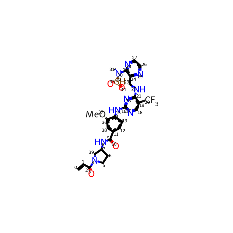 C=CC(=O)N1CCC(NC(=O)c2ccc(Nc3ncc(C(F)(F)F)c(NCc4nccnc4N(C)[SH](=O)=O)n3)c(OC)c2)C1